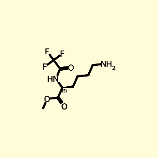 COC(=O)[C@H](CCCCN)NC(=O)C(F)(F)F